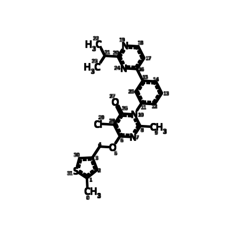 Cc1cc(COc2nc(C)n(-c3cccc(-c4ccnc(C(C)C)n4)c3)c(=O)c2Cl)cs1